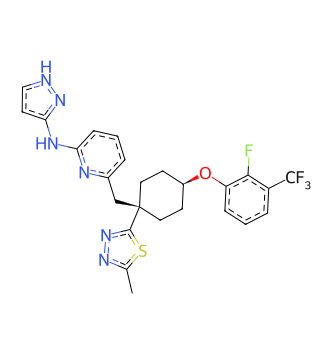 Cc1nnc([C@]2(Cc3cccc(Nc4cc[nH]n4)n3)CC[C@@H](Oc3cccc(C(F)(F)F)c3F)CC2)s1